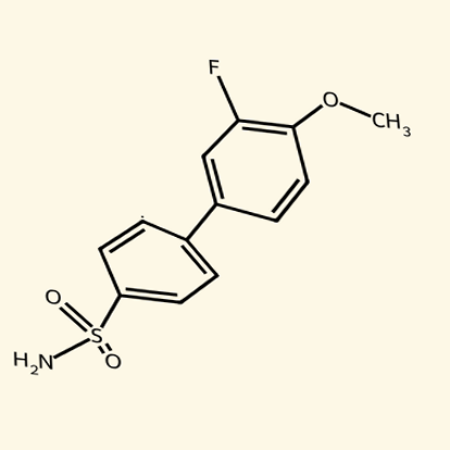 COc1ccc(-c2[c]cc(S(N)(=O)=O)cc2)cc1F